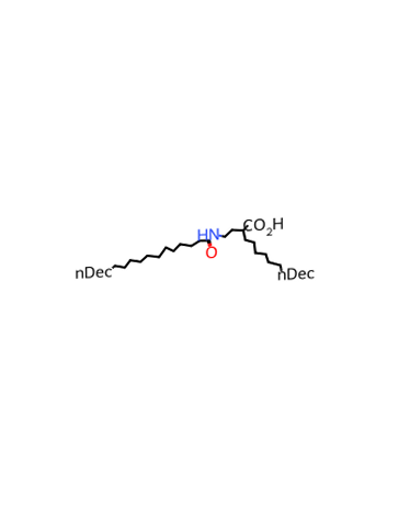 CCCCCCCCCCCCCCCCCCCCCC(=O)NCCC(CCCCCCCCCCCCCCCC)C(=O)O